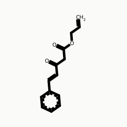 C=CCOC(=O)CC(=O)C=Cc1ccccc1